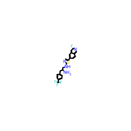 NC(CNc1ncc(-c2ccc3cnc(F)cc3c2)s1)Cc1ccc(C(F)(F)F)cc1